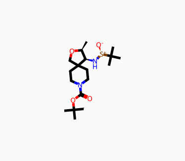 C[C@@H]1OCC2(CCN(C(=O)OC(C)(C)C)CC2)[C@@H]1N[S@+]([O-])C(C)(C)C